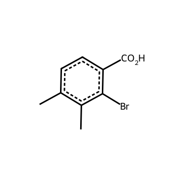 Cc1ccc(C(=O)O)c(Br)c1C